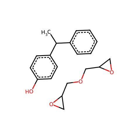 C(OCC1CO1)C1CO1.CC(c1ccccc1)c1ccc(O)cc1